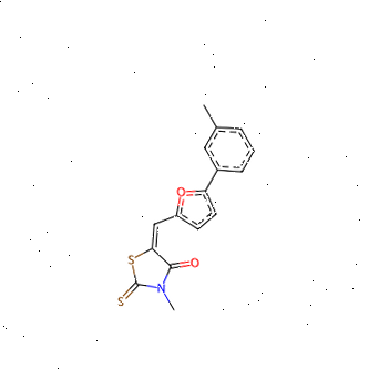 Cc1cccc(-c2ccc(/C=C3/SC(=S)N(C)C3=O)o2)c1